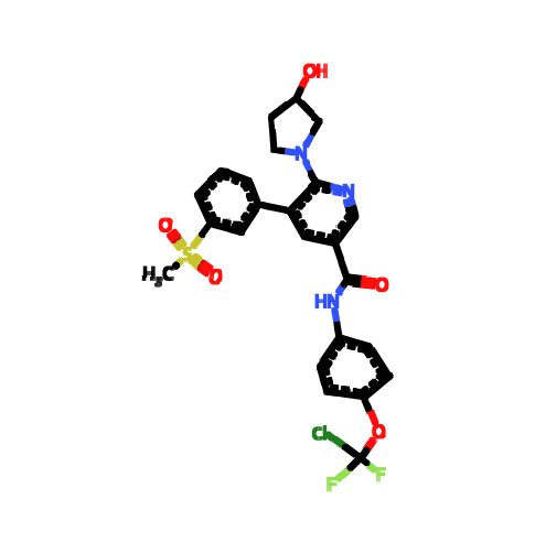 CS(=O)(=O)c1cccc(-c2cc(C(=O)Nc3ccc(OC(F)(F)Cl)cc3)cnc2N2CCC(O)C2)c1